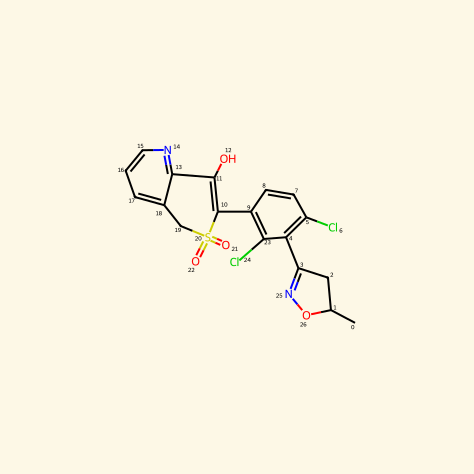 CC1CC(c2c(Cl)ccc(C3=C(O)c4ncccc4CS3(=O)=O)c2Cl)=NO1